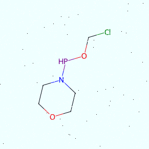 ClCOPN1CCOCC1